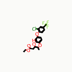 CCOC(=O)CC(O)C(C)Oc1ccc(Oc2ccc(C(F)(F)F)cc2Cl)cc1